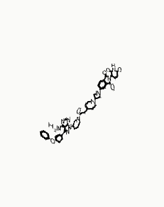 Nc1ncnc2c1c(-c1ccc(Oc3ccccc3)cc1)nn2[C@@H]1CCCN(C(=O)CC2CCN(C3CN(c4ccc5c(c4)C(=O)N(C4CCC(=O)NC4=O)C5=O)C3)CC2)C1